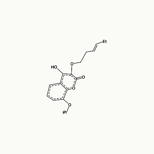 CC/C=C/CCOc1c(O)c2cccc(OC(C)C)c2oc1=O